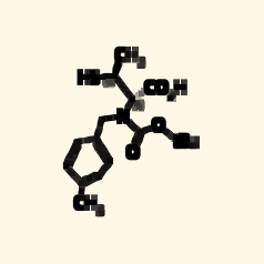 Cc1ccc(CN(C(=O)OC(C)(C)C)[C@@H](C(=O)O)[C@H](C)S)cc1